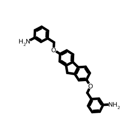 Nc1cccc(COc2ccc3c(c2)Cc2cc(OCc4cccc(N)c4)ccc2-3)c1